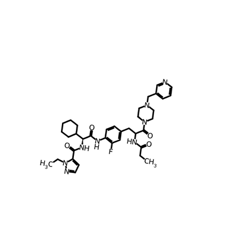 CCC(=O)NC(Cc1ccc(NC(=O)[C@@H](NC(=O)c2ccnn2CC)C2CCCCC2)c(F)c1)C(=O)N1CCN(Cc2cccnc2)CC1